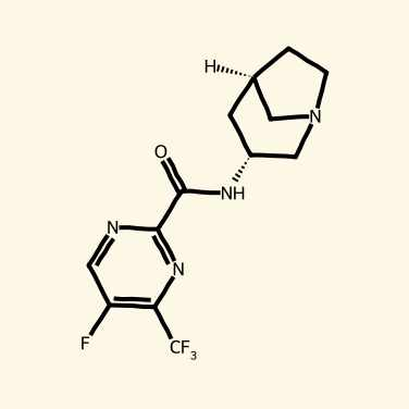 O=C(N[C@@H]1C[C@H]2CCN(C2)C1)c1ncc(F)c(C(F)(F)F)n1